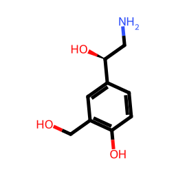 NC[C@H](O)c1ccc(O)c(CO)c1